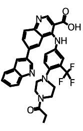 CCC(=O)N1CCN(c2ccc(Nc3c(C(=O)O)cnc4ccc(-c5cnc6ccccc6c5)cc34)cc2C(F)(F)F)CC1